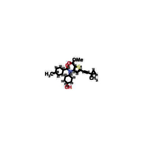 COC(=O)c1sc(C#CC2(C)CC2)cc1N(C(=O)C1CCC(C)CC1)C1CCC(O)CC1